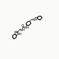 O=C(NCc1nc2ccccc2[nH]1)Nc1ccc(CNCc2ccccc2)cc1